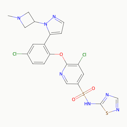 CN1CC(n2nccc2-c2cc(Cl)ccc2Oc2ncc(S(=O)(=O)Nc3ncns3)cc2Cl)C1